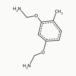 Cc1ccc(OCN)cc1OCN